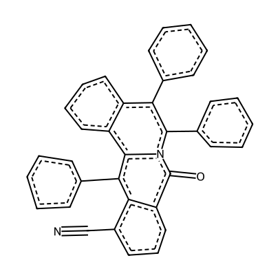 N#Cc1cccc2c(=O)n3c(-c4ccccc4)c(-c4ccccc4)c4ccccc4c3c(-c3ccccc3)c12